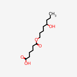 CCCC(O)CCCCOC(=O)CCCCC(=O)O